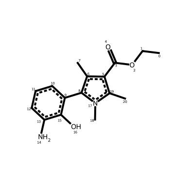 CCOC(=O)c1c(C)c(-c2cccc(N)c2O)n(C)c1C